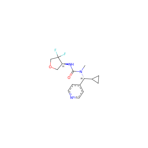 CN(C(=O)N[C@H]1COCC1(F)F)[C@@H](c1ccncc1)C1CC1